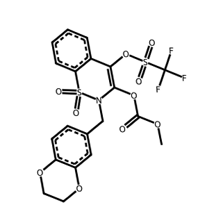 COC(=O)OC1=C(OS(=O)(=O)C(F)(F)F)c2ccccc2S(=O)(=O)N1Cc1ccc2c(c1)OCCO2